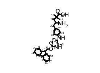 C[C@H](NC(=O)OCC1c2ccccc2-c2ccccc21)C(=O)Nc1ccc(C[C@H](N)CC(C)(C)C(=O)O)cc1